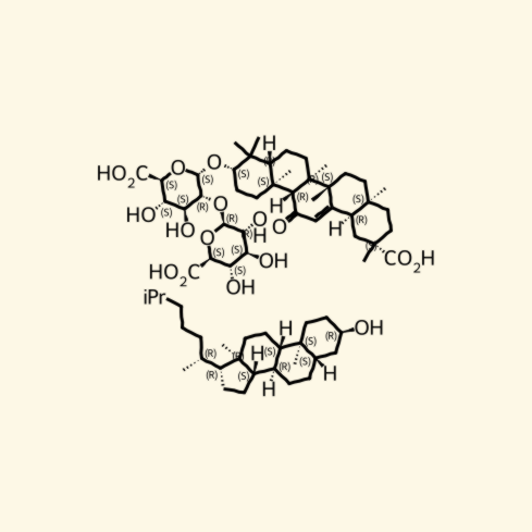 CC(C)CCC[C@@H](C)[C@H]1CC[C@H]2[C@@H]3CC[C@H]4C[C@H](O)CC[C@]4(C)[C@H]3CC[C@]12C.CC1(C)[C@@H](O[C@H]2O[C@H](C(=O)O)[C@@H](O)[C@H](O)[C@H]2O[C@@H]2O[C@H](C(=O)O)[C@@H](O)[C@H](O)[C@H]2O)CC[C@]2(C)[C@H]3C(=O)C=C4[C@@H]5C[C@@](C)(C(=O)O)CC[C@]5(C)CC[C@@]4(C)[C@]3(C)CC[C@@H]12